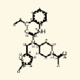 CCOc1ccccc1NC(=O)N(Cc1ccc(C)o1)C1CCN(C(C)=O)CC1